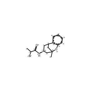 CC(Br)C(=O)N[C@H]1CC2CC(C)(C1)Oc1ccccc12